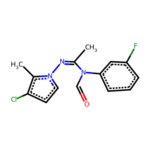 C/C(=N/n1ccc(Cl)c1C)N(C=O)c1cccc(F)c1